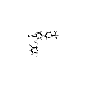 CC(Oc1cc(-c2ccc(P(C)(=O)O)cc2)cnc1N)c1cc(F)ccc1Cl